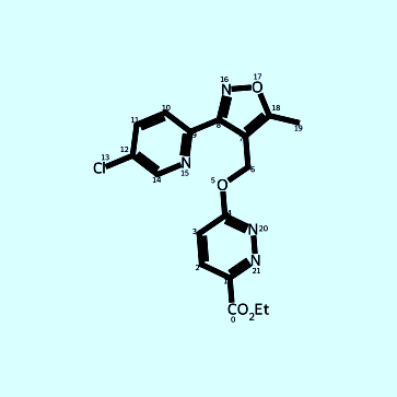 CCOC(=O)c1ccc(OCc2c(-c3ccc(Cl)cn3)noc2C)nn1